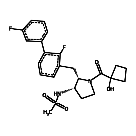 CS(=O)(=O)N[C@H]1CCN(C(=O)C2(O)CCC2)[C@H]1Cc1cccc(-c2cccc(F)c2)c1F